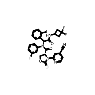 N#Cc1ccnc(N2C(=O)OC[C@H]2C(=O)N(c2cccc(F)c2)[C@H](C(=O)NC2CC(F)(F)C2)c2ccccc2I)c1